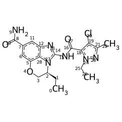 CC[C@H]1COc2cc(C(N)=O)cc3nc(NC(=O)c4c(Cl)c(C)nn4CC)n1c23